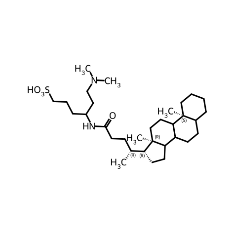 C[C@H](CCC(=O)NC(CCCS(=O)(=O)O)CCN(C)C)[C@H]1CCC2C3CCC4CCCC[C@]4(C)C3CC[C@@]21C